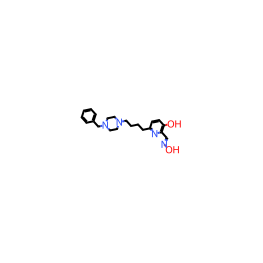 ON=Cc1nc(CCCCN2CCN(Cc3ccccc3)CC2)ccc1O